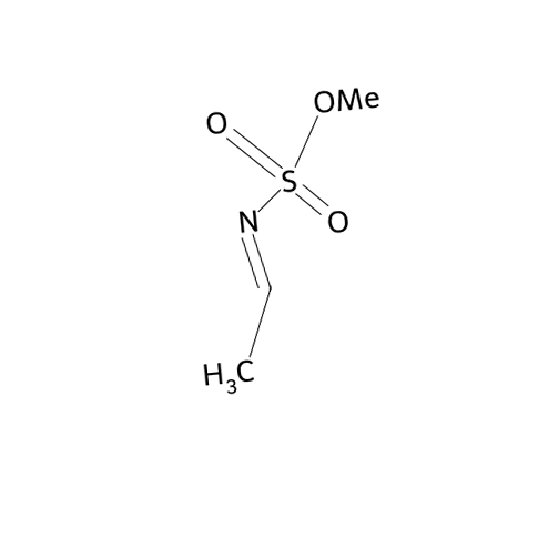 CC=NS(=O)(=O)OC